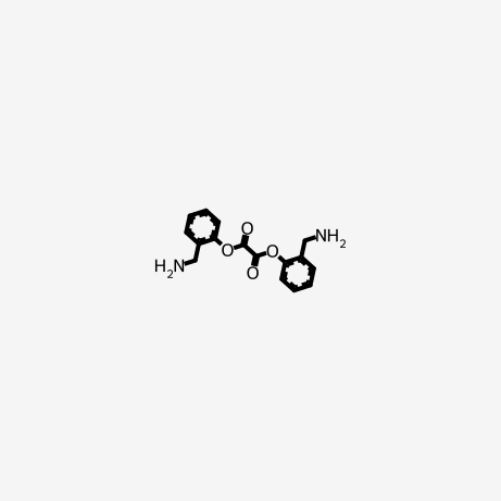 NCc1ccccc1OC(=O)C(=O)Oc1ccccc1CN